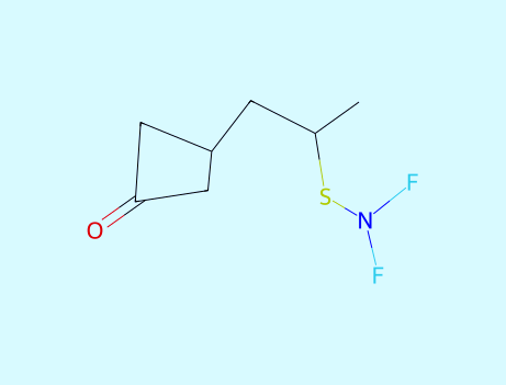 CC(CC1CC(=O)C1)SN(F)F